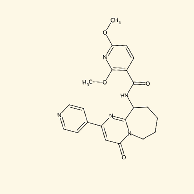 COc1ccc(C(=O)NC2CCCCn3c2nc(-c2ccncc2)cc3=O)c(OC)n1